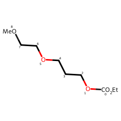 CCOC(=O)OCCCOCCOC